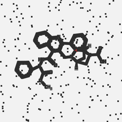 COC(=O)N(NC(=O)c1c(CN2C[C@H]3C[C@@H]2CN3C(=O)O)c(-c2ccccc2)nc2ccccc12)c1ccccc1